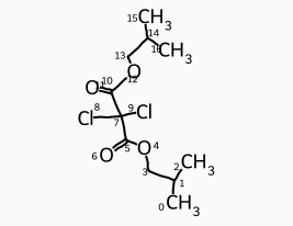 CC(C)COC(=O)C(Cl)(Cl)C(=O)OCC(C)C